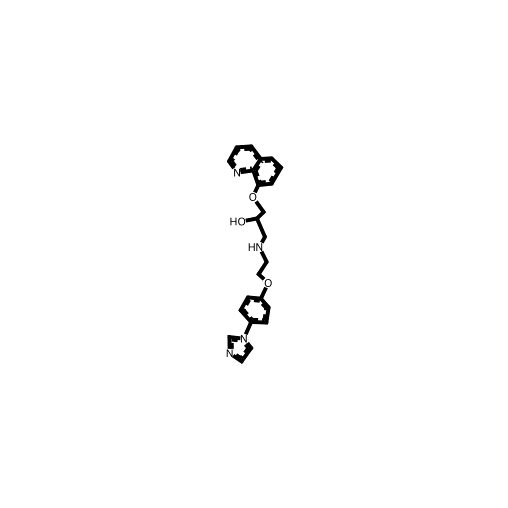 OC(CNCCOc1ccc(-n2ccnc2)cc1)COc1cccc2cccnc12